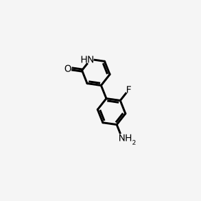 Nc1ccc(-c2cc[nH]c(=O)c2)c(F)c1